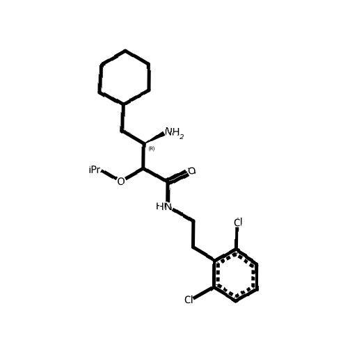 CC(C)OC(C(=O)NCCc1c(Cl)cccc1Cl)[C@H](N)CC1CCCCC1